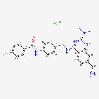 CN(C)c1nc(NCc2ccc(NC(=O)c3ccc(F)cc3)cc2)c2ccc(CN)cc2n1.Cl